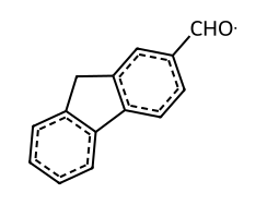 O=[C]c1ccc2c(c1)Cc1ccccc1-2